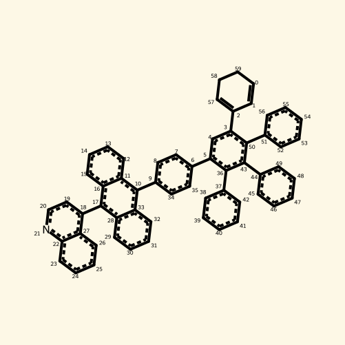 C1=CC(c2cc(-c3ccc(-c4c5ccccc5c(-c5ccnc6ccccc56)c5ccccc45)cc3)c(-c3ccccc3)c(-c3ccccc3)c2-c2ccccc2)=CCC1